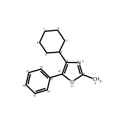 Cc1nc(C2CCCCC2)c(-c2ccccc2)o1